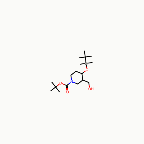 CC(C)(C)OC(=O)N1CCC(O[Si](C)(C)C(C)(C)C)C(CO)C1